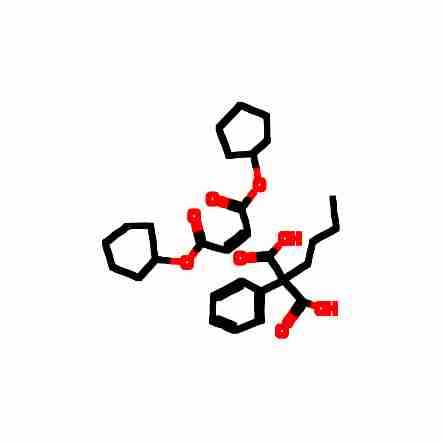 CCCCC(C(=O)O)(C(=O)O)c1ccccc1.O=C(/C=C\C(=O)OC1CCCCC1)OC1CCCCC1